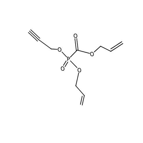 C#CCOP(=O)(OCC=C)C(=O)OCC=C